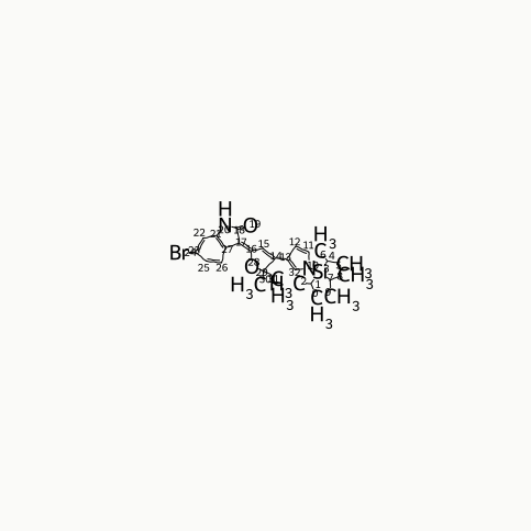 CC(C)[Si](C(C)C)(C(C)C)n1ccc(C2=C/C(=C3\C(=O)Nc4cc(Br)ccc43)OC2(C)C)c1